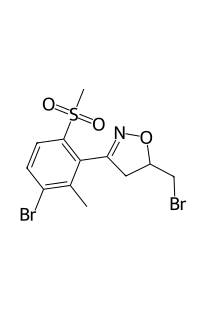 Cc1c(Br)ccc(S(C)(=O)=O)c1C1=NOC(CBr)C1